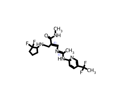 CNC(=O)/C(=C/N=C(\C)Nc1ccc(C(C)(F)F)cn1)CNC1CCCC1(F)F